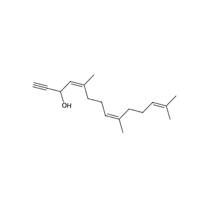 C#CC(O)C=C(C)CCC=C(C)CCC=C(C)C